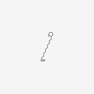 OCCCCCCCCCCC1CCCS1